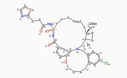 CO[C@H]1/C=C/CCCS(=O)(NC(=O)CCc2nccs2)=NC(=O)c2ccc3c(c2)N(Cc2ccc(Cl)cc2CCCCO3)C[C@@H]2CC[C@H]21